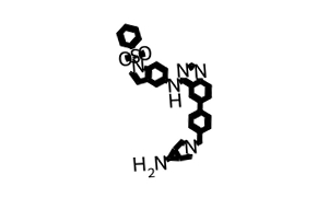 NC1C2CN(Cc3ccc(-c4ccc5ncnc(Nc6ccc7c(ccn7S(=O)(=O)c7ccccc7)c6)c5c4)cc3)CC12